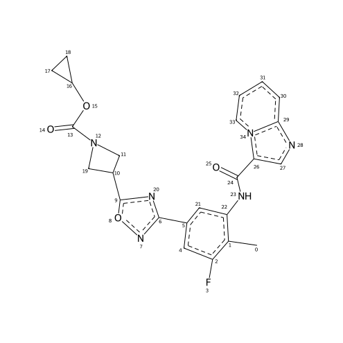 Cc1c(F)cc(-c2noc(C3CN(C(=O)OC4CC4)C3)n2)cc1NC(=O)c1cnc2ccccn12